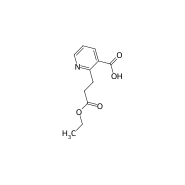 CCOC(=O)CCc1ncccc1C(=O)O